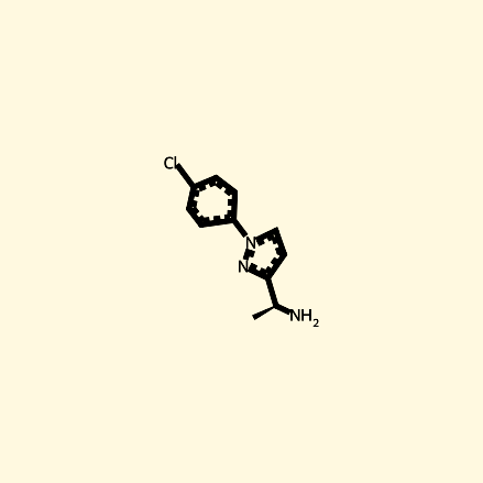 C[C@H](N)c1ccn(-c2ccc(Cl)cc2)n1